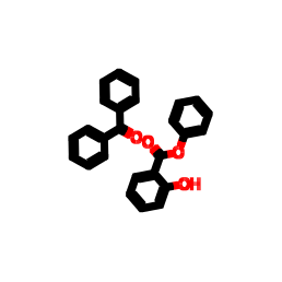 O=C(Oc1ccccc1)c1ccccc1O.O=C(c1ccccc1)c1ccccc1